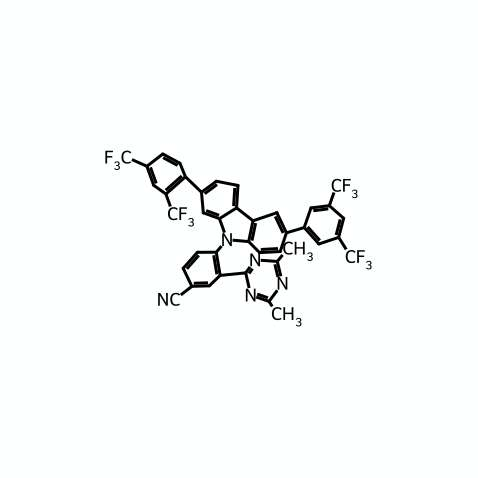 Cc1nc(C)nc(-c2cc(C#N)ccc2-n2c3ccc(-c4cc(C(F)(F)F)cc(C(F)(F)F)c4)cc3c3ccc(-c4ccc(C(F)(F)F)cc4C(F)(F)F)cc32)n1